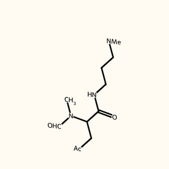 CNCCCNC(=O)C(CC(C)=O)N(C)C=O